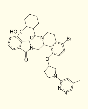 Cc1cnnc(N2CCC(Oc3ccc(Br)c4c3C(CN3Cc5ccccc5C3=O)N(C(=O)C3CCCCC3C(=O)O)CC4)C2)c1